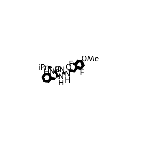 COc1cc(F)c(CC(=O)NC(=N)N[C@H](CC2CCCCC2)C(=O)NCC(C)C)c(F)c1